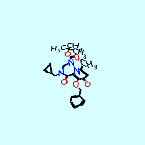 Cc1cc(=O)c(OCc2ccccc2)c2n1N(C(=O)OC(C)(C)C)CN(CC1CC1)C2=O